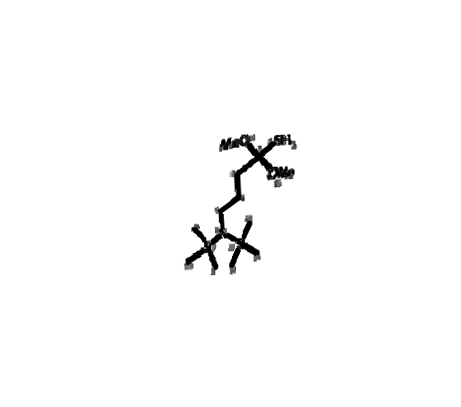 COC([SiH3])(CCCN([Si](C)(C)C)[Si](C)(C)C)OC